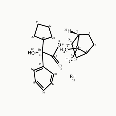 C[N+]1(C)C2CC[C@H]1[C@@H](OC(=O)[C@@](O)(c1ccccc1)C1CCCC1)C2.[Br-]